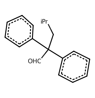 CC(C)CC(C=O)(c1ccccc1)c1ccccc1